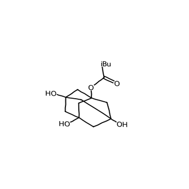 CCC(C)C(=O)OC12CC3(O)CC(O)(CC(O)(C3)C1)C2